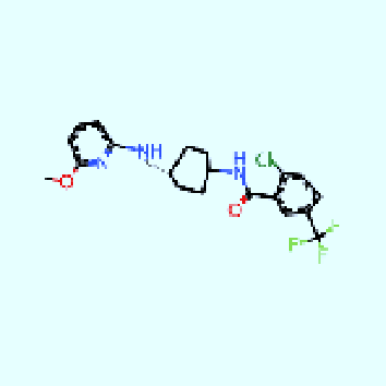 COc1cccc(NC[C@H]2CC[C@H](NC(=O)c3cc(C(F)(F)F)ccc3Cl)CC2)n1